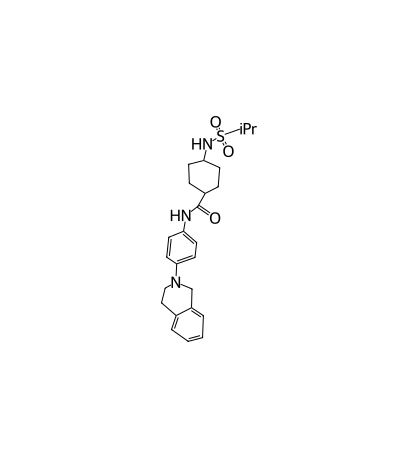 CC(C)S(=O)(=O)NC1CCC(C(=O)Nc2ccc(N3CCc4ccccc4C3)cc2)CC1